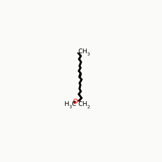 C=C(CCCCCCC/C=C/CCCCCCCC)OC